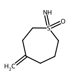 C=C1CCCS(=N)(=O)CC1